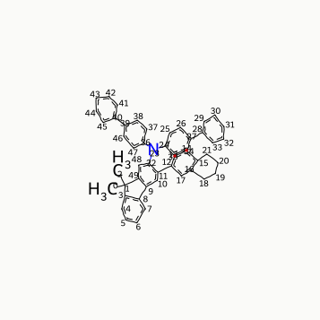 CC1(C)c2ccccc2-c2cc(-c3ccc4c(c3)CCCC4)c(N(c3ccc(-c4ccccc4)cc3)c3ccc(-c4ccccc4)cc3)cc21